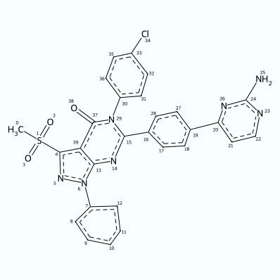 CS(=O)(=O)c1nn(-c2ccccc2)c2nc(-c3ccc(-c4ccnc(N)n4)cc3)n(-c3ccc(Cl)cc3)c(=O)c12